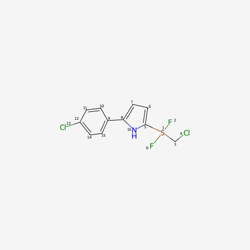 FS(F)(CCl)c1ccc(-c2ccc(Cl)cc2)[nH]1